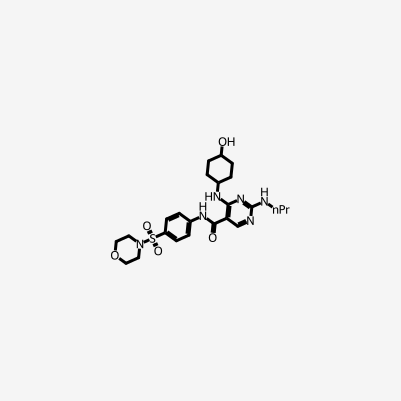 CCCNc1ncc(C(=O)Nc2ccc(S(=O)(=O)N3CCOCC3)cc2)c(NC2CCC(O)CC2)n1